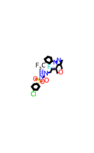 O=C(NC/C(F)=C1\COCc2cnn(-c3cccc(C(F)(F)F)c3)c21)NS(=O)(=O)c1ccc(Cl)cc1